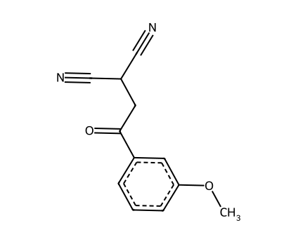 COc1cccc(C(=O)CC(C#N)C#N)c1